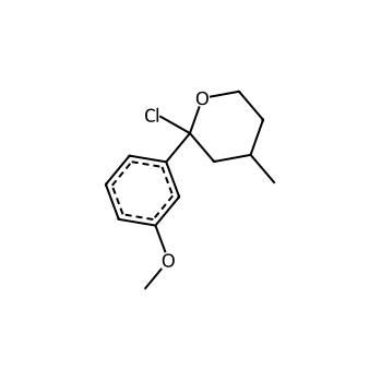 COc1cccc(C2(Cl)CC(C)CCO2)c1